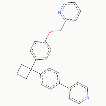 c1ccc(COc2ccc(C3(c4ccc(-c5ccncc5)cc4)CCC3)cc2)nc1